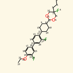 CCCC1(F)COC(C2CCC(c3ccc(-c4ccc(OCC)c(F)c4)cc3F)CC2)OC1